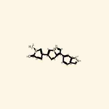 Cn1cc(-c2ccc3c(-c4ccc5cnsc5c4)cnn3c2)ccc1=O